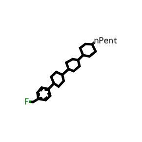 CCCCCC1CCC(C2CCC(C3CCC(c4ccc(CF)cc4)CC3)CC2)CC1